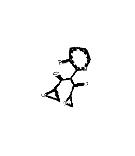 O=C(C1CO1)C(C(=O)C1CO1)c1ncccc1F